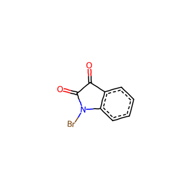 O=C1C(=O)N(Br)c2ccccc21